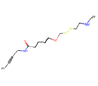 CC(C)C#CCNC(=O)CCCCOCSSCCNC(C)C